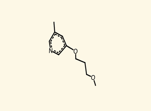 COCCCOc1cncc(C)c1